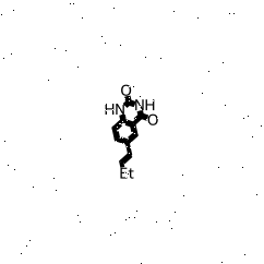 CC/C=C/c1ccc2[nH]c(=O)[nH]c(=O)c2c1